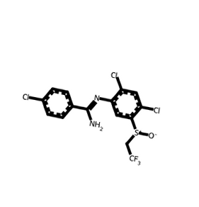 N/C(=N\c1cc([S+]([O-])CC(F)(F)F)c(Cl)cc1Cl)c1ccc(Cl)cc1